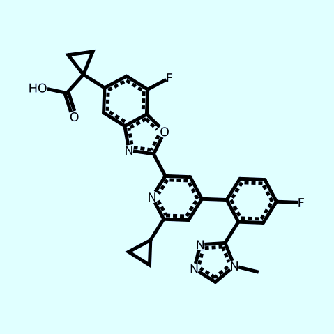 Cn1cnnc1-c1cc(F)ccc1-c1cc(-c2nc3cc(C4(C(=O)O)CC4)cc(F)c3o2)nc(C2CC2)c1